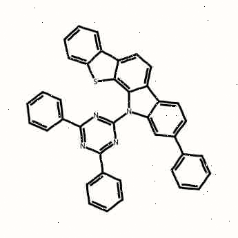 c1ccc(-c2ccc3c4ccc5c6ccccc6sc5c4n(-c4nc(-c5ccccc5)nc(-c5ccccc5)n4)c3c2)cc1